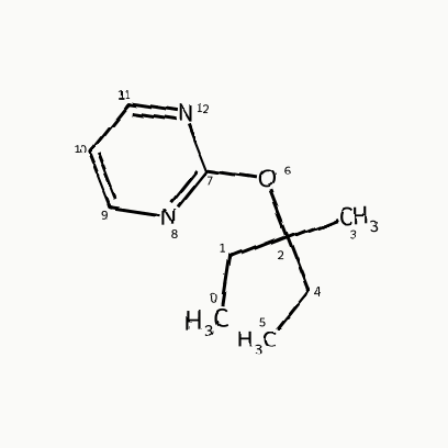 CCC(C)(CC)Oc1ncccn1